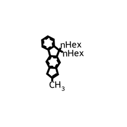 CCCCCCC1(CCCCCC)c2ccccc2-c2cc3c(cc21)C=C(C)C3